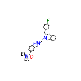 CCN(CC)C(=O)c1cccc(CNCCN2Cc3ccccc3CC2Cc2ccc(F)cc2)c1